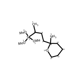 CO[Si](OC)(OC)C(C)CCC1([SiH3])CCCCO1